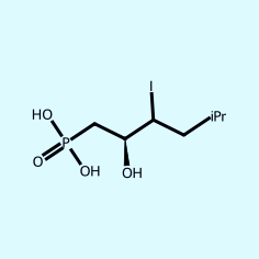 CC(C)CC(I)[C@@H](O)CP(=O)(O)O